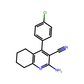 N#Cc1c(N)nc2c(c1-c1ccc(Cl)cc1)CCCC2